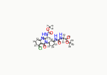 CC(NC(=O)OC(C)(C)C)c1nc2cccc(Cl)c2c(=O)n1-c1cccc(NC(=O)NC(C)(C)C(=O)OC(C)(C)C)c1